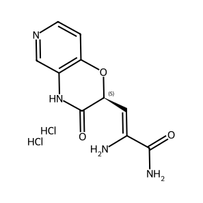 Cl.Cl.NC(=O)C(N)=C[C@@H]1Oc2ccncc2NC1=O